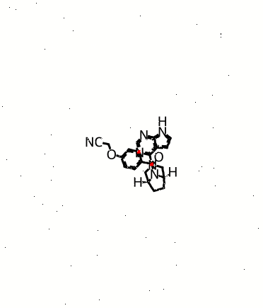 N#CCOc1ccc(C(=O)N2[C@@H]3CC[C@@H]2CN(c2ncnc4[nH]ccc24)C3)cc1